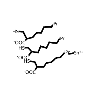 CC(C)CCCCCC(CS)C(=O)[O-].CC(C)CCCCCC(CS)C(=O)[O-].CC(C)CCCCCC(CS)C(=O)[O-].[CH3][Sn+3]